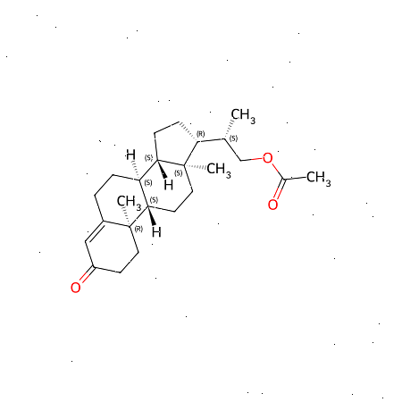 CC(=O)OC[C@@H](C)[C@H]1CC[C@H]2[C@@H]3CCC4=CC(=O)CC[C@]4(C)[C@H]3CC[C@]12C